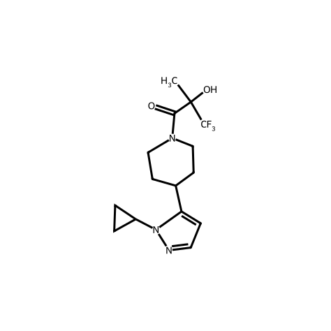 CC(O)(C(=O)N1CCC(c2ccnn2C2CC2)CC1)C(F)(F)F